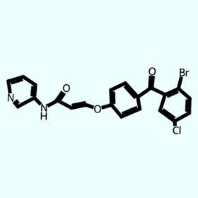 O=C(C=COc1ccc(C(=O)c2cc(Cl)ccc2Br)cc1)Nc1cccnc1